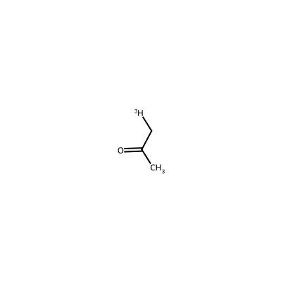 [3H]CC(C)=O